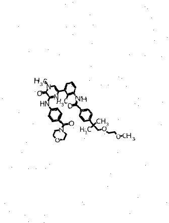 COCCOCC(C)(C)c1ccc(C(=O)Nc2cccc(-c3cn(C)c(=O)c(Nc4ccc(C(=O)N5CCOCC5)cc4)n3)c2C)cc1